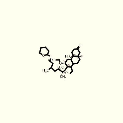 COCO[C@H]1CC2C(CC[C@H]3CC(=O)CC[C@]23C)C2CC[C@H]([C@H](C)CCC(C)CCOC3CCCCO3)[C@]21C